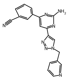 N#Cc1cccc(-c2cc(-c3cn(Cc4cccnc4)nn3)nc(N)n2)c1